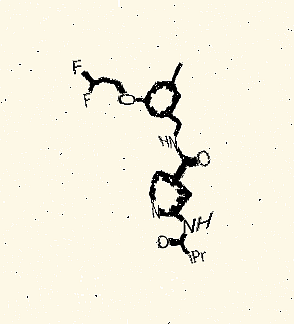 Cc1cc(CNC(=O)c2ccnc(NC(=O)C(C)C)c2)cc(OCC(F)F)c1